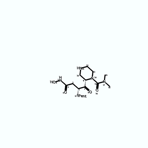 CCCCC[C@H](CC(=O)NO)C(=O)[C@@H]1CNCCN1C(=O)N(C)C